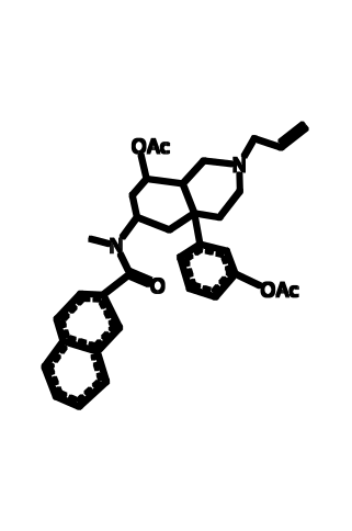 C=CCN1CCC2(c3cccc(OC(C)=O)c3)CC(N(C)C(=O)c3ccc4ccccc4c3)CC(OC(C)=O)C2C1